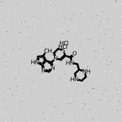 Cc1c[nH]c2ncnc(N3C=C(C(=O)NCC4CNCCN4)SCC3)c12.Cl.Cl